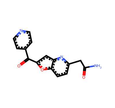 NC(=O)Cc1ccc2oc(C(=O)c3ccncc3)cc2n1